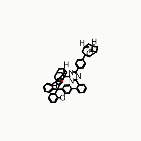 c1ccc2c(c1)Oc1cc(-c3ccccc3-c3nc(-c4ccc(C56CC7C[C@H]8C[C@H](C5)C[C@@]78C6)cc4)nc(C45CC6C[C@H](C4)C[C@@H](C6)C5)n3)ccc1C21c2ccccc2-c2ccccc21